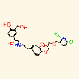 OCc1cc(C(O)CNCCc2ccc3c(c2)OC(COCc2ccc(Cl)nc2Cl)CO3)ccc1O